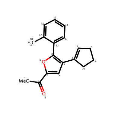 COC(=O)c1cc(C2=CCCC2)c(-c2ccccc2C(F)(F)F)o1